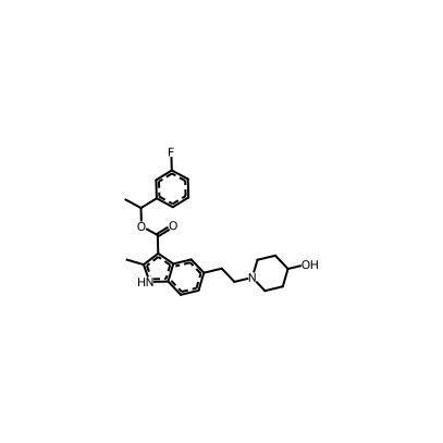 Cc1[nH]c2ccc(CCN3CCC(O)CC3)cc2c1C(=O)OC(C)c1cccc(F)c1